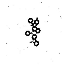 Cc1ccc2c(c1)C(C)(c1ccccc1)c1cc(N(c3ccccc3)c3ccc4c5ccccc5n(C)c4c3)c3ccccc3c1-2